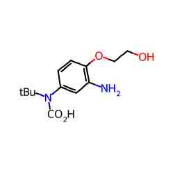 CC(C)(C)N(C(=O)O)c1ccc(OCCO)c(N)c1